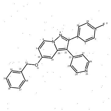 Fc1ccc(-c2nn3ccc(OCc4ccccc4)cc3c2-c2ccncc2)cc1